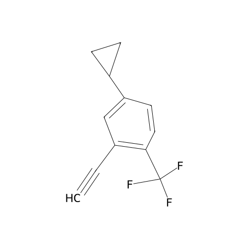 C#Cc1cc(C2CC2)ccc1C(F)(F)F